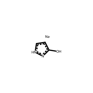 Oc1cc[nH]n1.[Na]